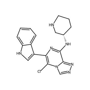 Clc1c(-c2c[nH]c3ccccc23)nc(N[C@H]2CCCNC2)c2nncn12